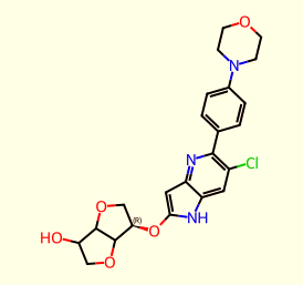 OC1COC2C1OC[C@H]2Oc1cc2nc(-c3ccc(N4CCOCC4)cc3)c(Cl)cc2[nH]1